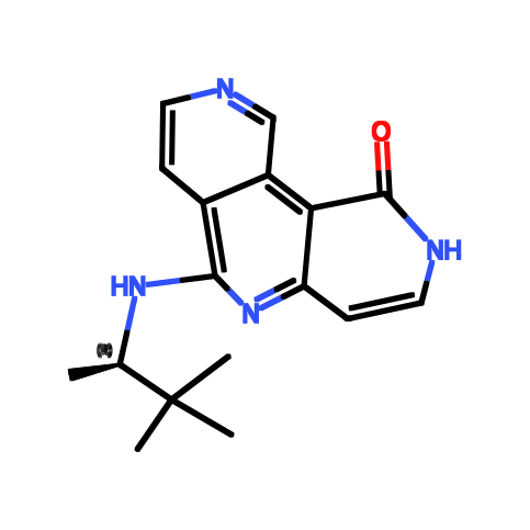 C[C@@H](Nc1nc2cc[nH]c(=O)c2c2cnccc12)C(C)(C)C